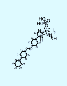 C[C@@](COP(=O)(O)O)(NN=N)c1ncc(-c2ccc(OCc3ccc(-c4ccccc4)cc3)cc2)[nH]1